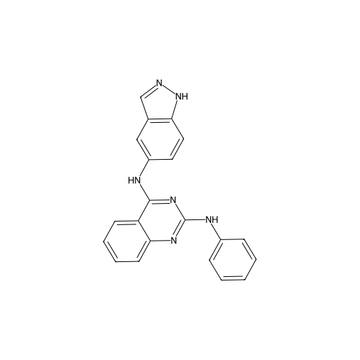 c1ccc(Nc2nc(Nc3ccc4[nH]ncc4c3)c3ccccc3n2)cc1